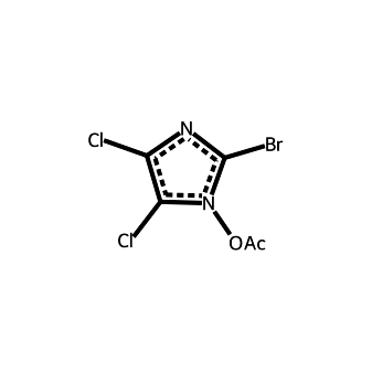 CC(=O)On1c(Br)nc(Cl)c1Cl